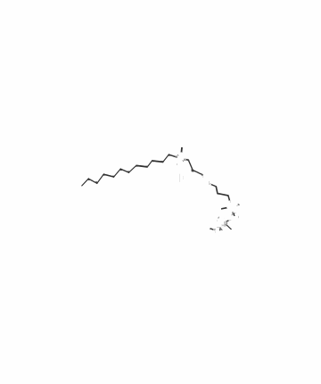 CCCCCCCCCCCC[N+](C)(C)CC(O)COCCC[Si](C)(C)O[Si](C)(C)OC